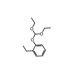 CCOC(OCC)Oc1ccccc1CC